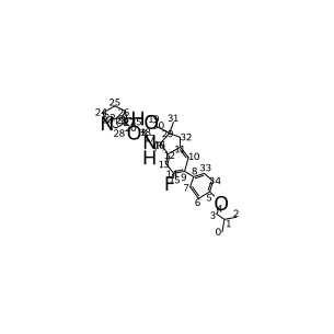 CC(C)COc1ccc(-c2cc3c(cc2F)[C@H](NC(=O)O[C@@H]2CN4CCC2CC4)C(C)(C)C3)cc1